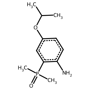 CC(C)Oc1ccc(N)c(P(C)(C)=O)c1